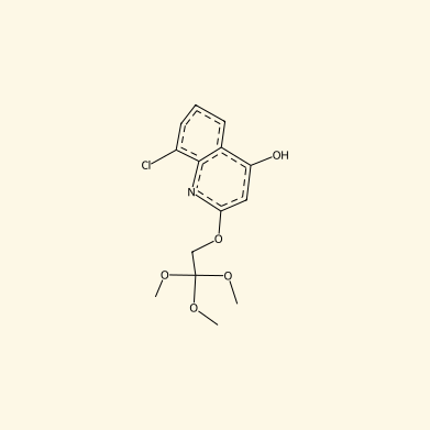 COC(COc1cc(O)c2cccc(Cl)c2n1)(OC)OC